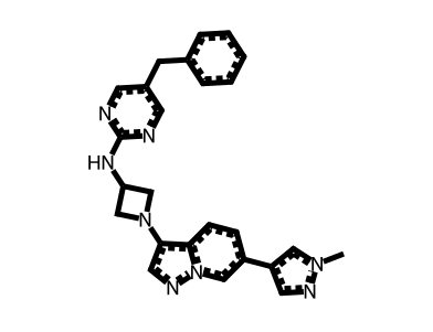 Cn1cc(-c2ccc3c(N4CC(Nc5ncc(Cc6ccccc6)cn5)C4)cnn3c2)cn1